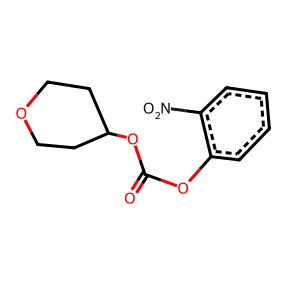 O=C(Oc1ccccc1[N+](=O)[O-])OC1CCOCC1